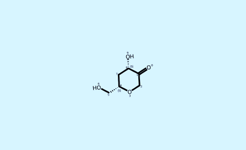 O=C1CO[C@H](CO)C[C@@H]1O